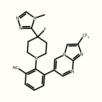 Cn1cnnc1C1(F)CCN(c2c(C#N)cccc2-c2cnc3nc(C(F)(F)F)cn3c2)CC1